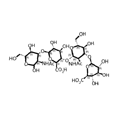 CC(=O)N[C@H]1[C@H](O[C@H]2[C@H](O)[C@@H](O)[C@H](O[C@H]3[C@H](O)[C@@H](CO)OC(O)[C@@H]3NC(C)=O)O[C@@H]2C(=O)O)O[C@H](CO)[C@@H](O)[C@@H]1O[C@@H]1O[C@H](C(=O)O)[C@@H](O)[C@H](O)[C@H]1O